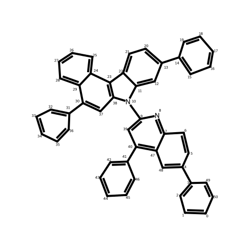 c1ccc(-c2ccc3nc(-n4c5cc(-c6ccccc6)ccc5c5c6ccccc6c(-c6ccccc6)cc54)cc(-c4ccccc4)c3c2)cc1